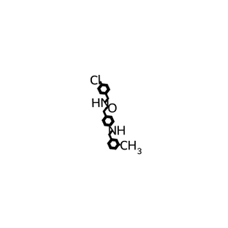 Cc1cccc(CNc2ccc(CC(=O)NCc3ccc(Cl)cc3)cc2)c1